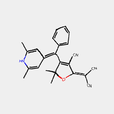 CC1=CC(=C(C2=C(C#N)C(=C(C#N)C#N)OC2(C)C)c2ccccc2)C=C(C)N1